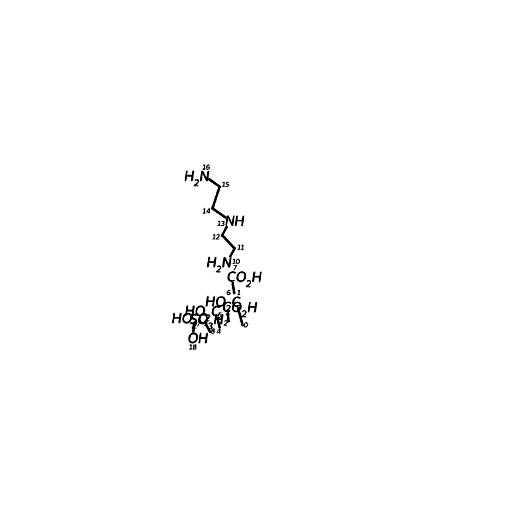 CC(=O)O.CC(=O)O.CC(=O)O.CC(=O)O.CC(=O)O.NCCNCCN.O=S(=O)(O)O